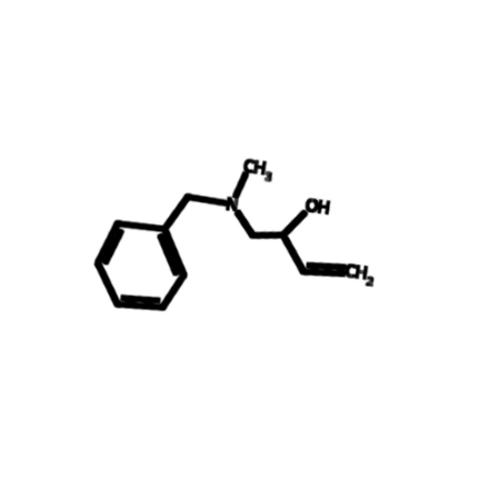 C=CC(O)CN(C)Cc1ccccc1